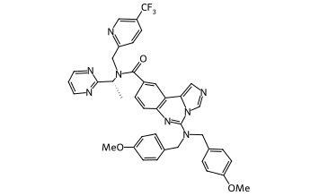 COc1ccc(CN(Cc2ccc(OC)cc2)c2nc3ccc(C(=O)N(Cc4ccc(C(F)(F)F)cn4)[C@H](C)c4ncccn4)cc3c3cncn23)cc1